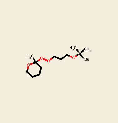 CC1(OOCCCO[Si](C)(C)C(C)(C)C)CCCCO1